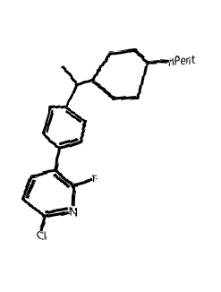 CCCCCC1CCC(C(C)c2ccc(-c3ccc(Cl)nc3F)cc2)CC1